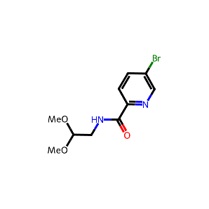 COC(CNC(=O)c1ccc(Br)cn1)OC